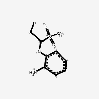 CCC(Oc1ccccc1N)S(=O)(=O)O